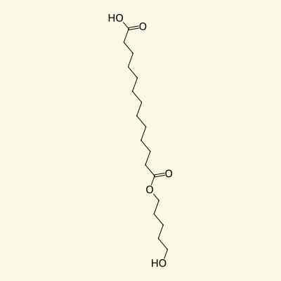 O=C(O)CCCCCCCCCCCC(=O)OCCCCCO